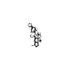 C[C@@H]1CCc2c1cc(C(=O)Nc1ncc(Cl)cn1)c(=O)n2C